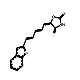 O=C1NC(=S)OC1=CC=CC=Cc1cc2ccccc2s1